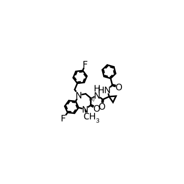 CN1C(=O)[C@H](NC(=O)C2(NC(=O)c3ccccc3)CC2)CN(Cc2ccc(F)cc2)c2ccc(F)cc21